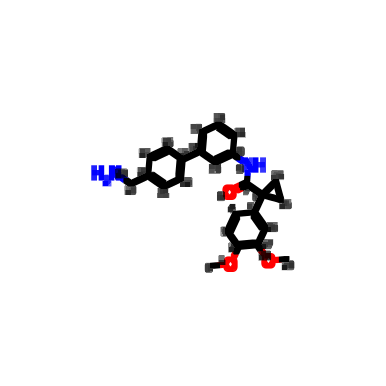 COc1ccc(C2(C(=O)Nc3cccc(-c4ccc(CN)cc4)c3)CC2)cc1OC